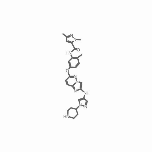 Cc1cc(C(=O)Nc2cc(Oc3ccc4nc(Nc5cnn(C6CCNCC6)c5)cn4n3)ccc2C)n(C)n1